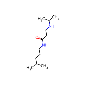 CC(C)CCCNC(=O)CCNC(C)C